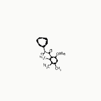 COc1cc(C)c(C)c(C)c1C(=O)P(Cl)c1ccccc1